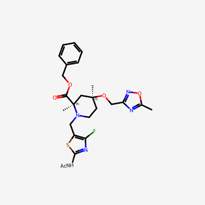 CC(=O)Nc1nc(F)c(CN2CC[C@](C)(OCc3noc(C)n3)C[C@]2(C)C(=O)OCc2ccccc2)s1